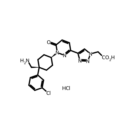 Cl.NC[C@]1(c2cccc(Cl)c2)CC[C@H](n2nc(-c3cn(CC(=O)O)nn3)ccc2=O)CC1